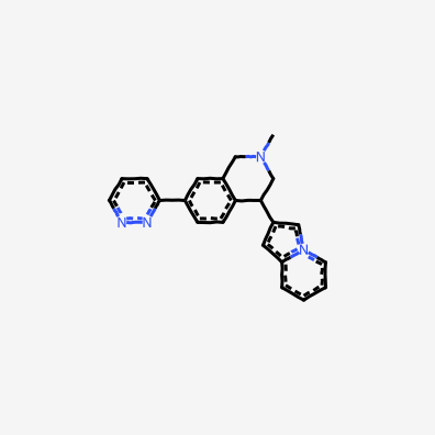 CN1Cc2cc(-c3cccnn3)ccc2C(c2cc3ccccn3c2)C1